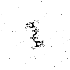 CC1OS(=O)(=O)CC1OS(=O)(=O)CCS(=O)(=O)OC1CS(=O)(=O)OC1C